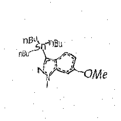 CCC[CH2][Sn]([CH2]CCC)([CH2]CCC)[c]1nn(C)c2cc(OC)ccc12